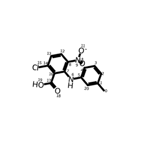 Cc1cccc(Nc2c([N+](=O)[O-])ccc(Cl)c2C(=O)O)c1